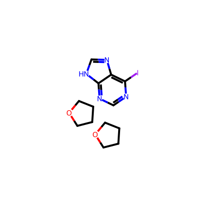 C1CCOC1.C1CCOC1.Ic1ncnc2[nH]cnc12